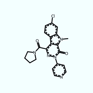 Cn1c2cc(Cl)ccc2c2c(C(=O)N3CCCC3)nn(-c3ccncc3)c(=O)c21